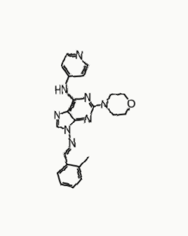 Cc1ccccc1/C=N/n1cnc2c(Nc3ccncc3)nc(N3CCOCC3)nc21